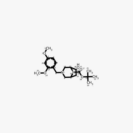 COc1ccc(CN2CC3C[C@@H](O)C(C2)N3C(=O)OC(C)(C)C)c(OC)c1